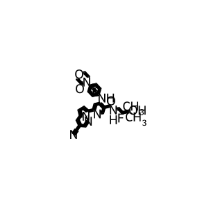 CC(C)(O)[C@H](F)CNC(=O)c1cnc(-c2ccc3cc(C#N)cnn23)cc1NC12CCC(N3CCOCC3=O)(CC1)CC2